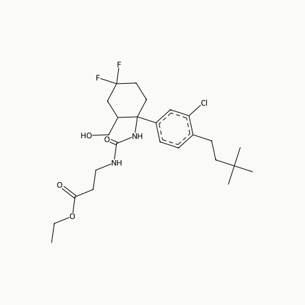 CCOC(=O)CCNC(=O)NC1(c2ccc(CCC(C)(C)C)c(Cl)c2)CCC(F)(F)CC1CO